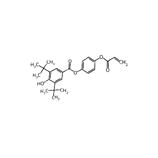 C=CC(=O)Oc1ccc(OC(=O)c2cc(C(C)(C)C)c(O)c(C(C)(C)C)c2)cc1